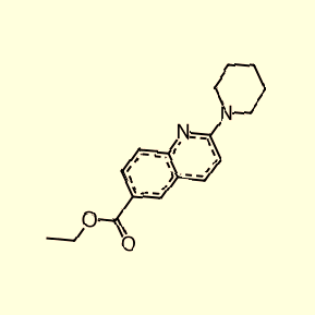 CCOC(=O)c1ccc2nc(N3CCCCC3)ccc2c1